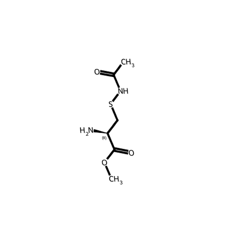 COC(=O)[C@@H](N)CSNC(C)=O